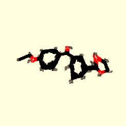 CCOc1ccc(C(=O)c2cccc(C3OCCO3)c2)cc1